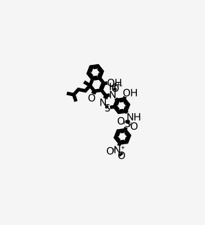 CC(C)CCC1(C)C(=O)C(C2=NSc3cc(NS(=O)(=O)c4ccc([N+](=O)[O-])cc4)cc(O)c3[NH+]2[O-])=C(O)c2ccccc21